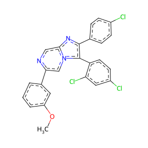 COc1cccc(-c2cn3c(-c4ccc(Cl)cc4Cl)c(-c4ccc(Cl)cc4)nc3cn2)c1